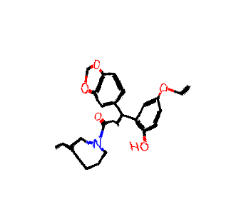 CCOc1ccc(O)c(C(CC(=O)N2CCCC(C)C2)c2ccc3c(c2)OCO3)c1